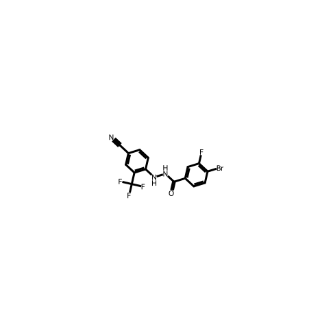 N#Cc1ccc(NNC(=O)c2ccc(Br)c(F)c2)c(C(F)(F)F)c1